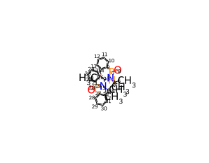 CCC(N(C(C)C)[PH](=O)c1ccccc1)N(C(C)C)P(=O)(c1ccccc1)c1ccccc1